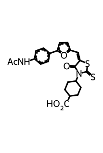 CC(=O)Nc1ccc(-c2ccc(C=C3SC(=S)N(C4CCC(C(=O)O)CC4)C3=O)o2)cc1